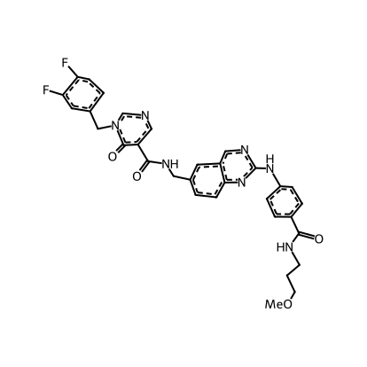 COCCCNC(=O)c1ccc(Nc2ncc3cc(CNC(=O)c4cncn(Cc5ccc(F)c(F)c5)c4=O)ccc3n2)cc1